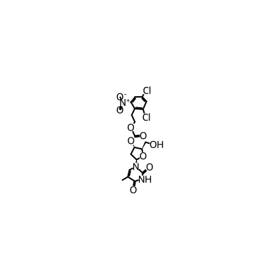 Cc1cn([C@H]2C[C@H](OC(=O)OCCc3c(Cl)cc(Cl)cc3[N+](=O)[O-])[C@@H](CO)O2)c(=O)[nH]c1=O